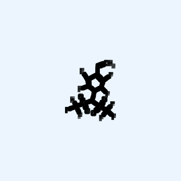 C=CC1=C(F)C(F)C(C(S(=O)(=O)C(F)(F)F)S(=O)(=O)C(F)(F)F)C(F)=C1F